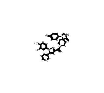 C=C1NCN(c2ccc(F)cc2)C12CCN(C(=O)c1cc(-c3cccnc3)n(-c3ccc(C(F)(F)F)c(F)c3)n1)CC2